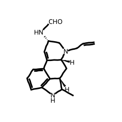 C=CCN1C[C@@H](NC=O)C=C2c3cccc4c3[C@H](C[C@H]21)C(C)N4